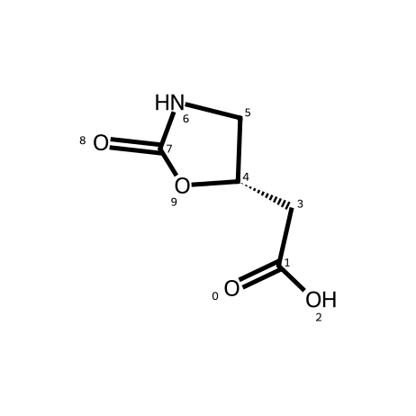 O=C(O)C[C@H]1CNC(=O)O1